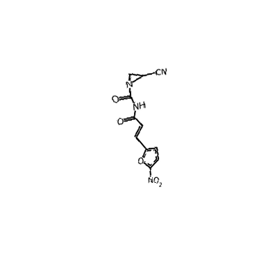 N#CC1CN1C(=O)NC(=O)/C=C/c1ccc([N+](=O)[O-])o1